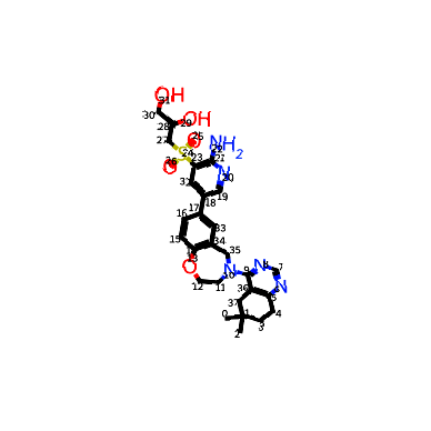 CC1(C)CCc2ncnc(N3CCOc4ccc(-c5cnc(N)c(S(=O)(=O)CC(O)CO)c5)cc4C3)c2C1